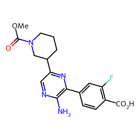 COC(=O)N1CCCC(c2cnc(N)c(-c3ccc(C(=O)O)c(F)c3)n2)C1